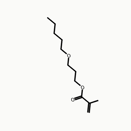 C=C(C)C(=O)OCCCOCCCCC